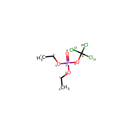 CCOP(=O)(OCC)OC(Cl)(Cl)Cl